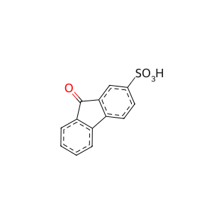 O=C1c2ccccc2-c2ccc(S(=O)(=O)O)cc21